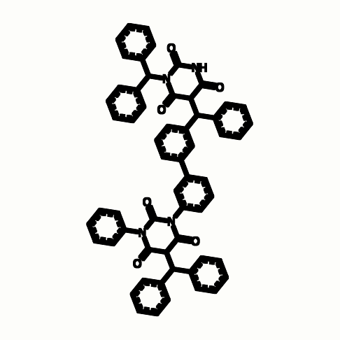 O=C1NC(=O)N(C(c2ccccc2)c2ccccc2)C(=O)C1C(c1ccccc1)c1cccc(-c2cccc(N3C(=O)C(C(c4ccccc4)c4ccccc4)C(=O)N(c4ccccc4)C3=O)c2)c1